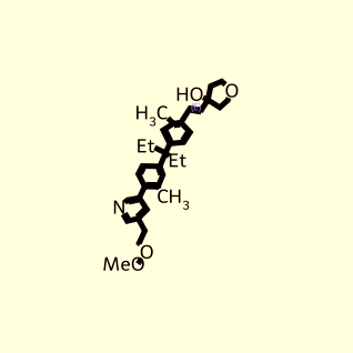 CCC(CC)(c1ccc(/C=C/C2(O)CCOCC2)c(C)c1)c1ccc(-c2cncc(CCOOC)c2)c(C)c1